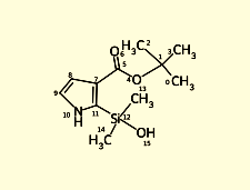 CC(C)(C)OC(=O)c1cc[nH]c1[Si](C)(C)O